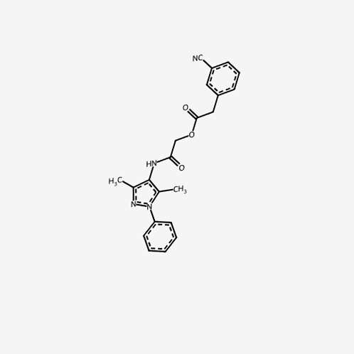 Cc1nn(-c2ccccc2)c(C)c1NC(=O)COC(=O)Cc1cccc(C#N)c1